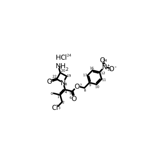 CC(CCl)=C(C(=O)OCc1ccc([N+](=O)[O-])cc1)N1CC(N)C1=O.Cl